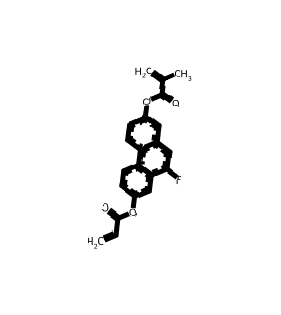 C=CC(=O)Oc1ccc2c(c1)c(F)cc1cc(OC(=O)C(=C)C)ccc12